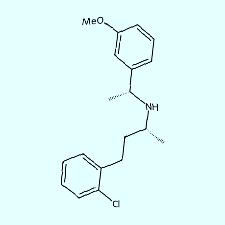 COc1cccc([C@@H](C)N[C@H](C)CCc2ccccc2Cl)c1